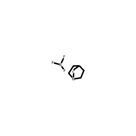 C1CN2CCC1CC2.FB(F)F